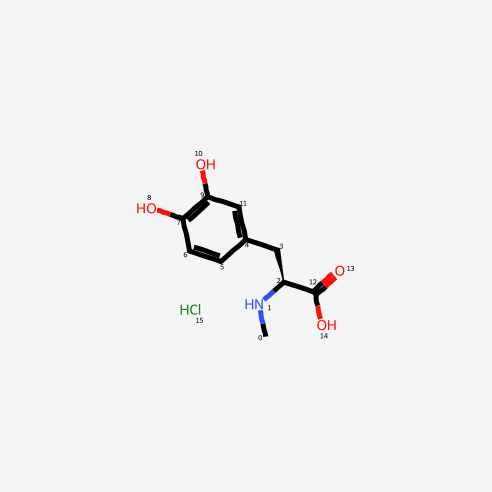 CN[C@@H](Cc1ccc(O)c(O)c1)C(=O)O.Cl